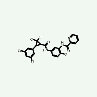 O=C(Nc1cc(NC(=O)C2C(c3cc(Cl)cc(Cl)c3)C2(Cl)Cl)ccc1Cl)c1ccccn1